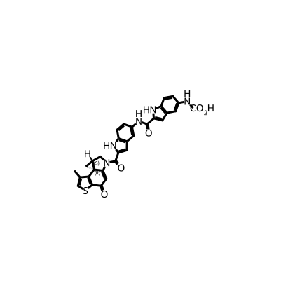 Cc1csc2c1[C@@]13C[C@@H]1CN(C(=O)c1cc4cc(NC(=O)c5cc6cc(NC(=O)O)ccc6[nH]5)ccc4[nH]1)C3=CC2=O